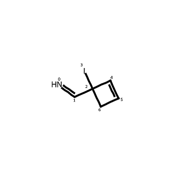 N=CC1(I)C=CC1